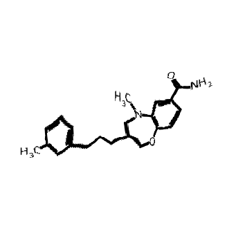 Cc1cccc(CCCC2COc3ccc(C(N)=O)cc3N(C)C2)c1